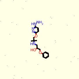 CC(C)(COc1ccc(NN)nn1)NCC(O)COc1ccccc1